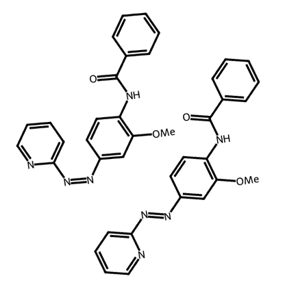 COc1cc(/N=N/c2ccccn2)ccc1NC(=O)c1ccccc1.COc1cc(/N=N\c2ccccn2)ccc1NC(=O)c1ccccc1